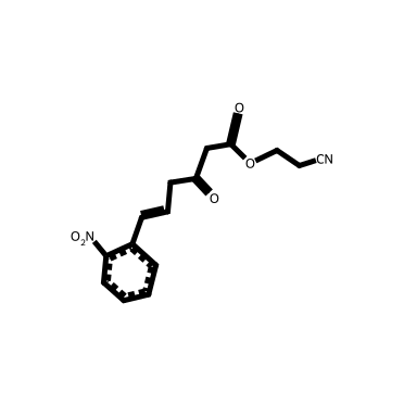 N#CCCOC(=O)CC(=O)CC=Cc1ccccc1[N+](=O)[O-]